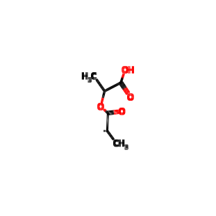 C[CH]C(=O)OC(C)C(=O)O